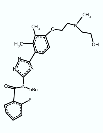 CCCCN(C(=O)c1ccccc1F)c1nnc(-c2ccc(OCCN(C)CCO)c(C)c2C)s1